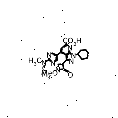 CON1CC(c2nn(C3CCCCC3)c3nc(C(=O)O)cc(-c4cnc(N(C)C)nc4)c23)C1=C=O